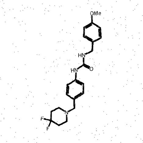 COc1ccc(CNC(=O)Nc2ccc(CN3CCC(F)(F)CC3)cc2)cc1